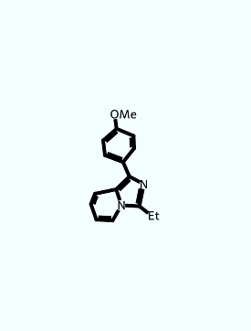 CCc1nc(-c2ccc(OC)cc2)c2ccccn12